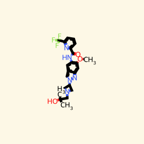 COc1cc2nn(C3CN(CC(C)(C)O)C3)cc2cc1NC(=O)c1cccc(C(F)(F)F)n1